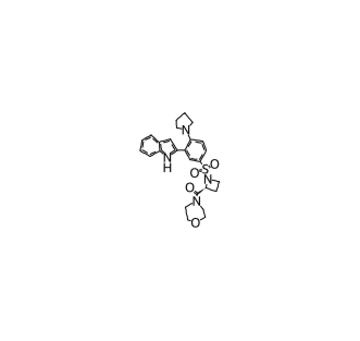 O=C([C@@H]1CCN1S(=O)(=O)c1ccc(N2CCCC2)c(-c2cc3ccccc3[nH]2)c1)N1CCOCC1